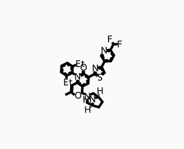 CCc1cccc(CC)c1-n1c(C=C(C)C)c(C(=O)N2C[C@H]3CC[C@@H](C2)N3)cc(-c2nc(-c3ccc(C(F)F)nc3)cs2)c1=O